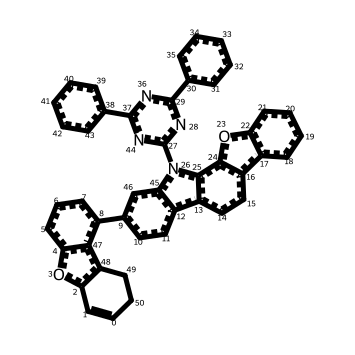 C1=Cc2oc3cccc(-c4ccc5c6ccc7c8ccccc8oc7c6n(-c6nc(-c7ccccc7)nc(-c7ccccc7)n6)c5c4)c3c2CC1